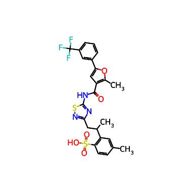 Cc1ccc(S(=O)(=O)O)c(C(C)Cc2nsc(NC(=O)c3cc(-c4cccc(C(F)(F)F)c4)oc3C)n2)c1